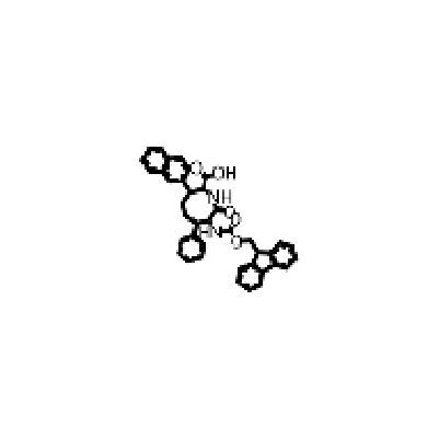 O=C(NC1C(=O)NC(C(=O)O)C(c2ccc3ccccc3c2)CCC1c1ccccc1)OCC1c2ccccc2-c2ccccc21